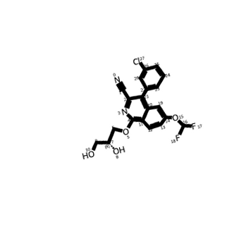 N#Cc1nc(OC[C@H](O)CO)c2ccc(OC(F)F)cc2c1-c1cccc(Cl)c1